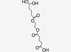 O=C(O)CCCC(=O)OCCOC(=O)CCCC(O)O